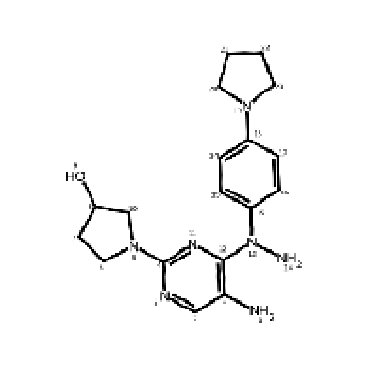 Nc1cnc(N2CCC(O)C2)nc1N(N)c1ccc(N2CCCC2)cc1